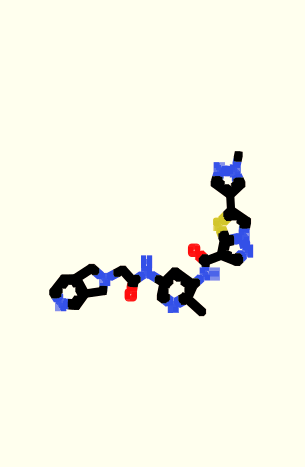 Cc1ncc(NC(=O)CN2Cc3ccncc3C2)cc1NC(=O)c1cnn2cc(-c3cnn(C)c3)sc12